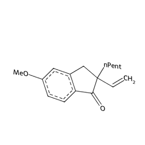 C=CC1(CCCCC)Cc2cc(OC)ccc2C1=O